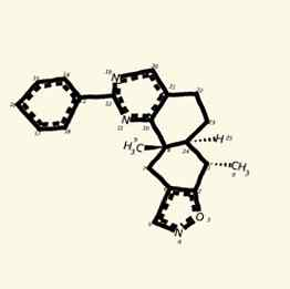 C[C@@H]1c2oncc2C[C@]2(C)c3nc(-c4ccccc4)ncc3CC[C@@H]12